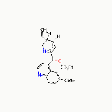 C=C[C@H]1CN2CC[C@H]1CC2[C@H](OC(=O)OCC)c1ccnc2ccc(OC)cc12